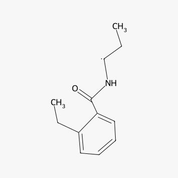 CC[CH]NC(=O)c1ccccc1CC